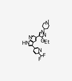 CCOc1nn(C2CCN(C)CC2)cc1-c1cnc2[nH]cc(-c3ccc(C(F)F)nc3)c2c1